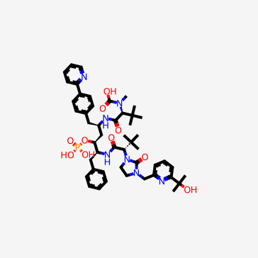 CN(C(=O)O)[C@H](C(=O)N[C@H](Cc1ccc(-c2ccccn2)cc1)C[C@H](OP(=O)(O)O)[C@H](Cc1ccccc1)NC(=O)[C@@H](N1CCN(Cc2cccc(C(C)(C)O)n2)C1=O)C(C)(C)C)C(C)(C)C